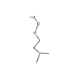 CC(C)CCOOO